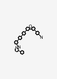 N#Cc1ccc(-c2ccc3oc4ccc(-c5ccc(-c6ccc(-c7cccc(C8N=C9C(c%10ccccc%10)=CC=CN98)c7)cc6)cc5)cc4c3c2)cc1